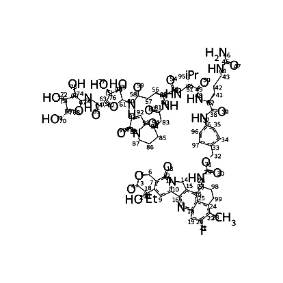 CC[C@@]1(O)C(=O)OCc2c1cc1n(c2=O)Cc2c-1nc1cc(F)c(C)c3c1c2[C@@H](NC(=O)OCc1ccc(NC(=O)[C@H](CCCNC(N)=O)NC(=O)[C@H](NC(=O)[C@H](CCC(=O)NC2O[C@H](C(=O)NC4O[C@H](CO)[C@@H](O)[C@H]4O)[C@@H](O)[C@H]2O)NC(=O)CCCCCN2C(=O)C=CC2=O)C(C)C)cc1)CC3